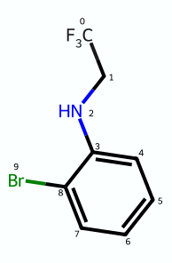 FC(F)(F)CNc1ccccc1Br